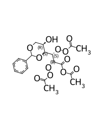 CC(=O)OO[C@@H]([C@H]1OC(c2ccccc2)OC[C@H]1O)[C@@H](OOC(C)=O)C(=O)OC(C)=O